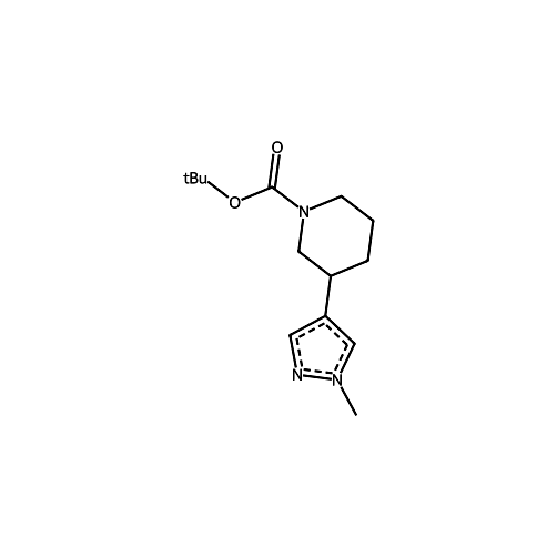 Cn1cc(C2CCCN(C(=O)OC(C)(C)C)C2)cn1